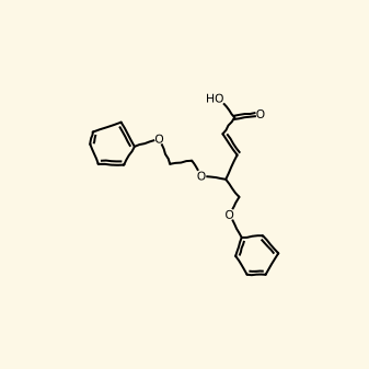 O=C(O)C=CC(COc1ccccc1)OCCOc1ccccc1